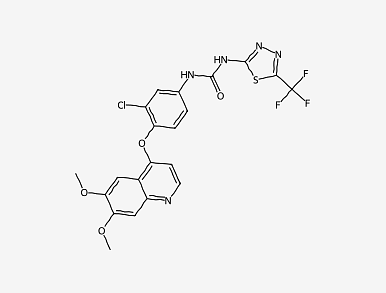 COc1cc2nccc(Oc3ccc(NC(=O)Nc4nnc(C(F)(F)F)s4)cc3Cl)c2cc1OC